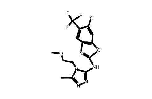 COCCn1c(C)nnc1Nc1nc2cc(C(F)(F)F)c(Cl)cc2o1